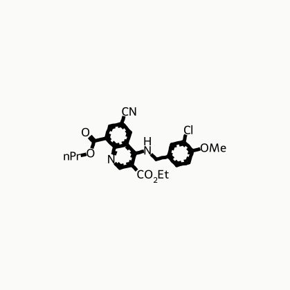 CCCOC(=O)c1cc(C#N)cc2c(NCc3ccc(OC)c(Cl)c3)c(C(=O)OCC)cnc12